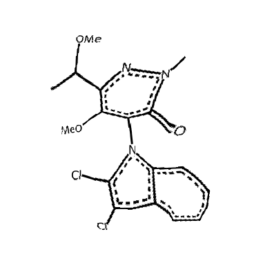 COc1c(C(C)OC)nn(C)c(=O)c1-n1c(Cl)c(Cl)c2ccccc21